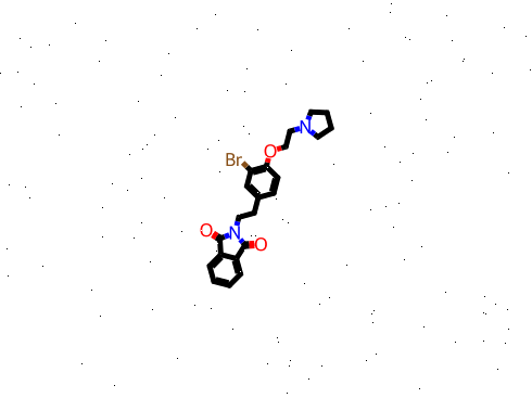 O=C1c2ccccc2C(=O)N1CCc1ccc(OCCN2CCCC2)c(Br)c1